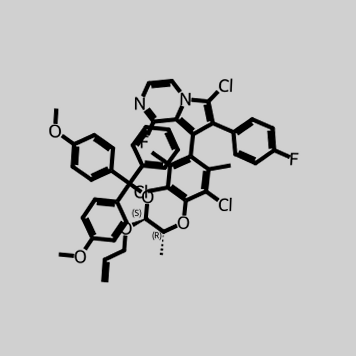 C=CCO[C@@H](OC(c1ccccc1)(c1ccc(OC)cc1)c1ccc(OC)cc1)[C@@H](C)Oc1c(Cl)c(C)c(-c2c(-c3ccc(F)cc3)c(Cl)n3ccnc(F)c23)c(C)c1Cl